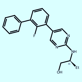 CC[C@@H](CO)Nc1ncc(-c2cccc(-c3ccccc3)c2F)cn1